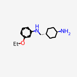 CCOc1cccc(NC[C@H]2CC[C@H](N)CC2)c1